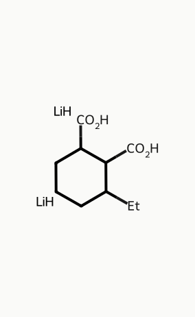 CCC1CCCC(C(=O)O)C1C(=O)O.[LiH].[LiH]